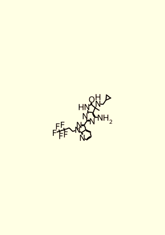 CC1(NCC2CC2)C(=O)Nc2nc(-c3nn(CCC(F)(F)C(F)(F)F)c4ncccc34)nc(N)c21